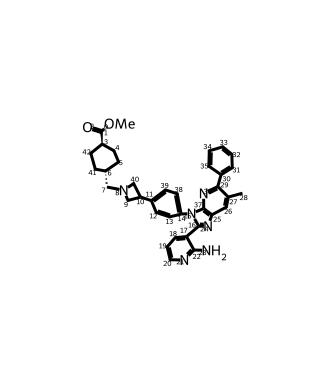 COC(=O)[C@H]1CC[C@H](CN2CC(c3ccc(-n4c(-c5cccnc5N)nc5cc(C)c(-c6ccccc6)nc54)cc3)C2)CC1